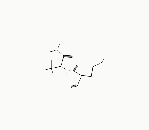 CCCCC(C=N)C(=O)N[C@H](C(=O)N(C)C)C(C)(C)C